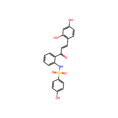 O=C(/C=C/c1ccc(O)cc1O)c1ccccc1NS(=O)(=O)c1ccc(O)cc1